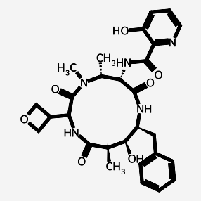 C[C@@H]1[C@H](NC(=O)c2ncccc2O)C(=O)N[C@@H](Cc2ccccc2)[C@@H](O)[C@@H](C)C(=O)NC(C2COC2)C(=O)N1C